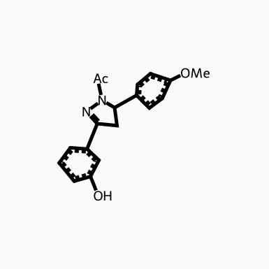 COc1ccc(C2CC(c3cccc(O)c3)=NN2C(C)=O)cc1